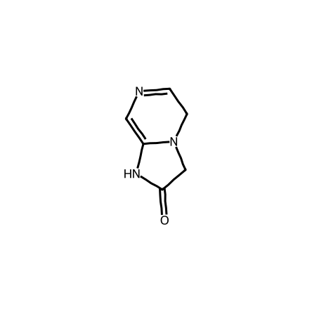 O=C1CN2CC=NC=C2N1